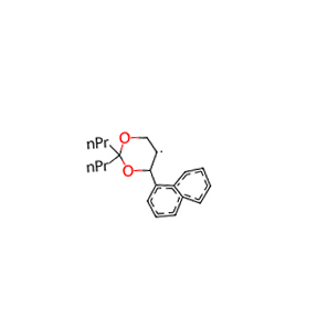 CCCC1(CCC)OC[CH]C(c2cccc3ccccc23)O1